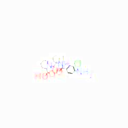 CC(NC(=O)c1ccc(N)c(Cl)c1)C(=O)N1CCCCC1C(=O)O